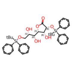 CC(C)(C)[Si](OC[C@H](O)[C@@H](O)[C@@H]1OC(=O)[C@H](O[Si](c2ccccc2)(c2ccccc2)C(C)(C)C)[C@@H]1O)(c1ccccc1)c1ccccc1